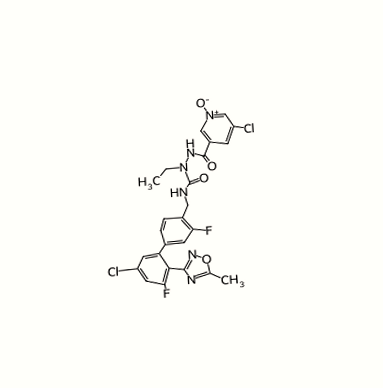 CCN(NC(=O)c1cc(Cl)c[n+]([O-])c1)C(=O)NCc1ccc(-c2cc(Cl)cc(F)c2-c2noc(C)n2)cc1F